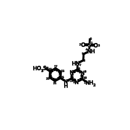 CS(=O)(=O)NCCNc1nc(N)nc(Nc2ccc(S(=O)(=O)O)cc2)n1